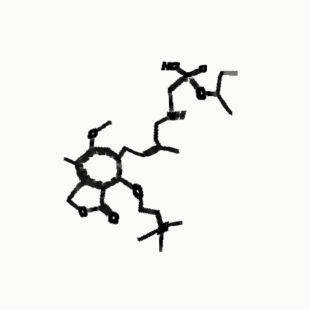 CCC(C)OP(=O)(O)CNCC(C)=CCc1c(OC)c(C)c2c(c1OCC[Si](C)(C)C)C(=O)OC2